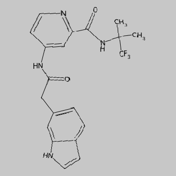 CC(C)(NC(=O)c1cc(NC(=O)Cc2ccc3cc[nH]c3c2)ccn1)C(F)(F)F